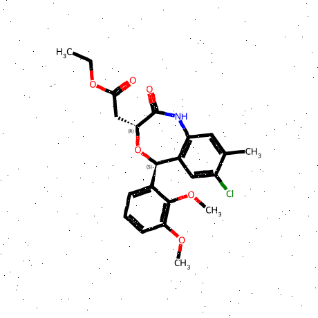 CCOC(=O)C[C@H]1O[C@H](c2cccc(OC)c2OC)c2cc(Cl)c(C)cc2NC1=O